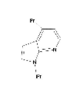 CC(C)c1ccnc2c1ccn2C(C)C